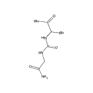 CC(C)(C)C(=O)C(NC(=O)NCC(N)=O)C(C)(C)C